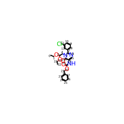 CCOC(Cn1c(-c2cccc(Cl)c2)ncc(NC(=O)OCc2ccccc2)c1=O)OCC